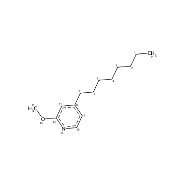 CCCCCCCCc1ccnc(OC)c1